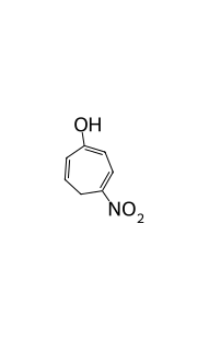 O=[N+]([O-])C1=CC=C(O)C=CC1